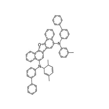 CC1=CC(N(c2cccc(-c3ccccc3)c2)c2cc3c4cc(N(c5cccc(C)c5)c5cccc(-c6ccccc6)c5)c5ccccc5c4oc3c3ccccc23)C(C)C=C1